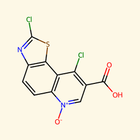 O=C(O)c1c[n+]([O-])c2ccc3nc(Cl)sc3c2c1Cl